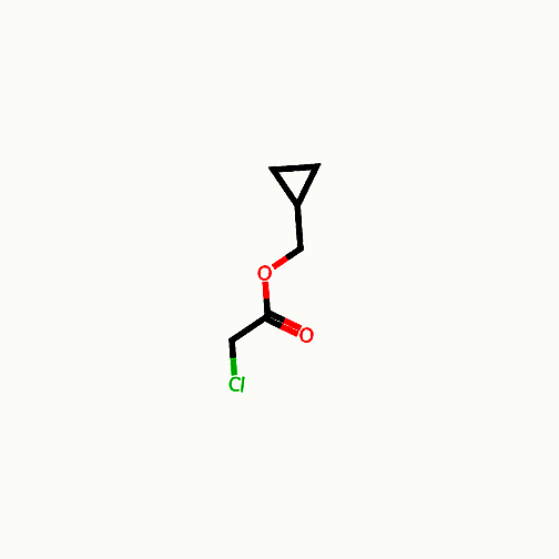 O=C(CCl)OCC1CC1